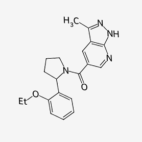 CCOc1ccccc1C1CCCN1C(=O)c1cnc2[nH]nc(C)c2c1